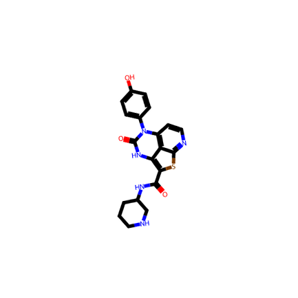 O=C(NC1CCCNC1)c1sc2nccc3c2c1NC(=O)N3c1ccc(O)cc1